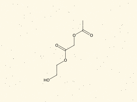 CC(=O)OCC(=O)OCCO